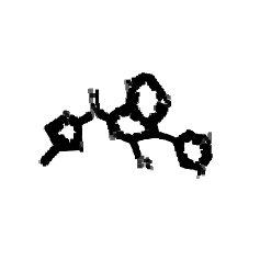 CCc1nc(Nc2nc(C)cs2)c2ncsc2c1-c1cncnc1